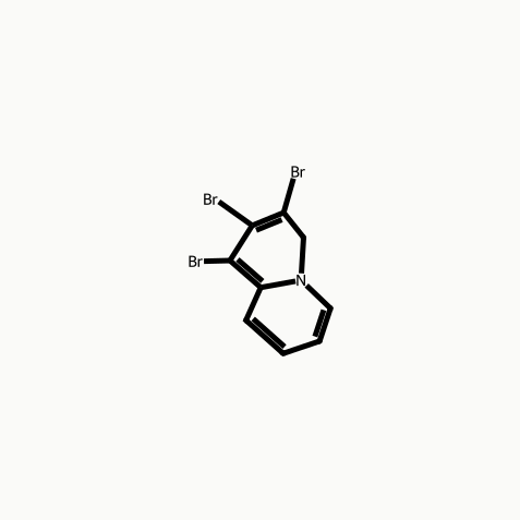 BrC1=C(Br)C(Br)=C2C=CC=CN2C1